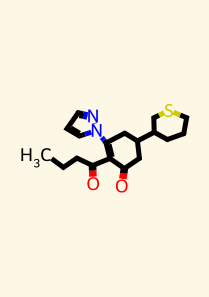 CCCC(=O)C1=C(n2cccn2)CC(C2CCCSC2)CC1=O